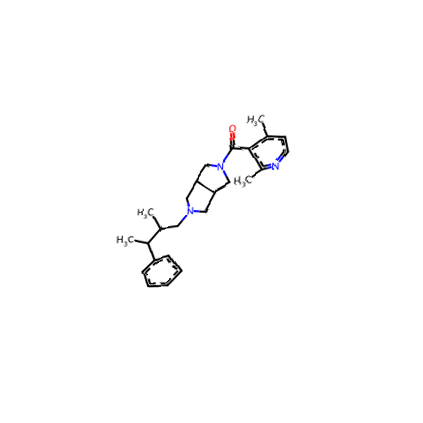 Cc1ccnc(C)c1C(=O)N1CC2CN(CC(C)C(C)c3ccccc3)CC2C1